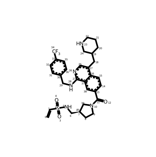 C=CS(=O)(=O)NC[C@@H]1CCN(C(=O)c2ccc3c(CC4CCCNC4)cnc(NCc4ccc(C(F)(F)F)cc4)c3c2)C1